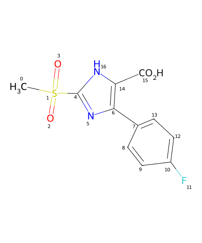 CS(=O)(=O)c1nc(-c2ccc(F)cc2)c(C(=O)O)[nH]1